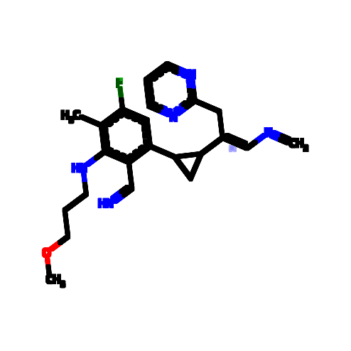 C=N/C=C(\Cc1ncccn1)C1CC1c1cc(F)c(C)c(NCCCOC)c1C=N